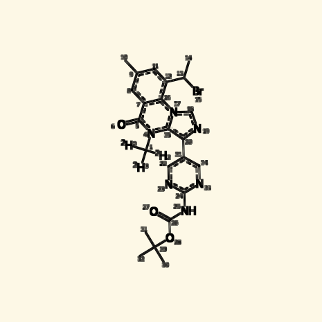 [2H]C([2H])([2H])n1c(=O)c2cc(C)cc(C(C)Br)c2n2cnc(-c3cnc(NC(=O)OC(C)(C)C)nc3)c12